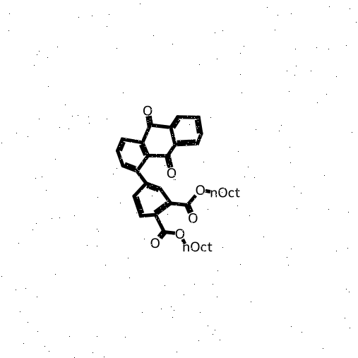 CCCCCCCCOC(=O)c1ccc(-c2cccc3c2C(=O)c2ccccc2C3=O)cc1C(=O)OCCCCCCCC